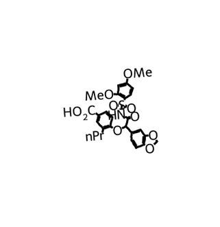 CCCc1cc(C(=O)O)ccc1OC(C(=O)NS(=O)(=O)c1ccc(OC)cc1OC)c1ccc2c(c1)OCO2